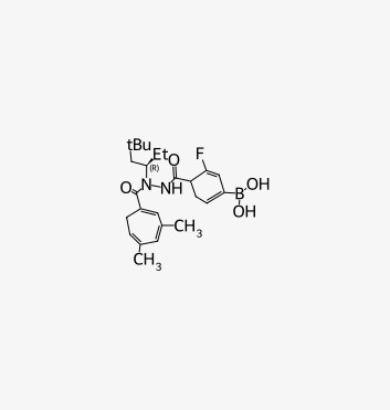 CC[C@H](CC(C)(C)C)N(NC(=O)C1CC=C(B(O)O)C=C1F)C(=O)C1=CC(C)=CC(C)=CC1